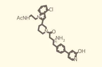 CC(=O)NCCn1c(C2CCCN(C(=O)C[C@H](N)Cc3ccc(-c4ccnc(O)c4)cc3)C2)cc2c(Cl)cccc21